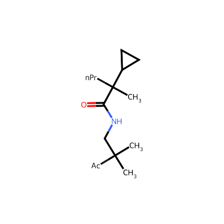 CCCC(C)(C(=O)NCC(C)(C)C(C)=O)C1CC1